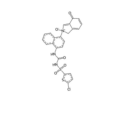 O=C(Nc1ccc([N+]2([O-])C=C3C(=O)C=CC=C3C2)c2ccccc12)NS(=O)(=O)c1ccc(Cl)s1